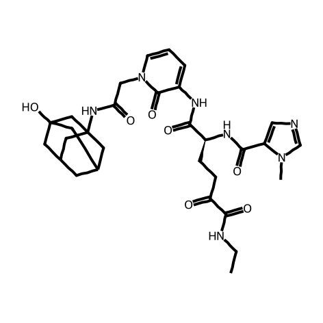 CCNC(=O)C(=O)CC[C@H](NC(=O)c1cncn1C)C(=O)Nc1cccn(CC(=O)NC23CC4CC(CC(O)(C4)C2)C3)c1=O